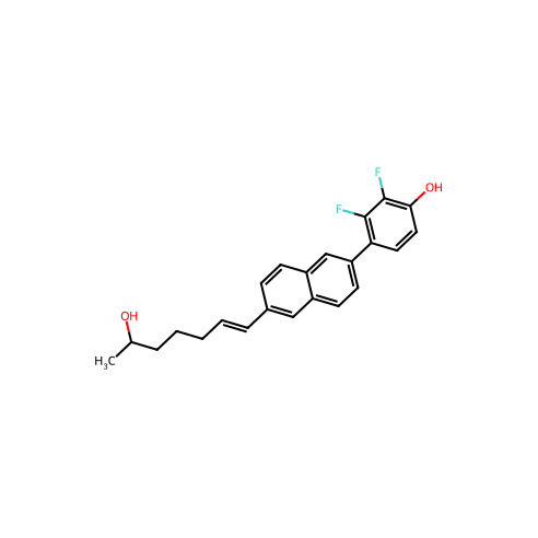 CC(O)CCC/C=C/c1ccc2cc(-c3ccc(O)c(F)c3F)ccc2c1